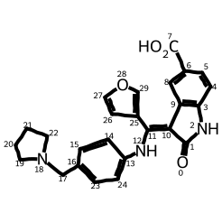 O=C1Nc2ccc(C(=O)O)cc2/C1=C(/Nc1ccc(CN2CCCC2)cc1)c1ccoc1